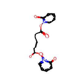 O=C(CCCC(=O)On1ccccc1=O)On1ccccc1=O